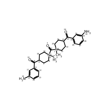 C[N+]1(C(=O)[N+]2(C)CCC(C(=O)c3cccc(N)c3)CC2)CCC(C(=O)c2cccc(N)c2)CC1